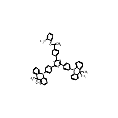 C=C(Oc1ccccc1N)c1ccc(-c2nc(-c3ccc(N4c5ccccc5C(C)(C)c5ccccc54)cc3)nc(-c3ccc(N4c5ccccc5C(C)(C)c5ccccc54)cc3)n2)cc1